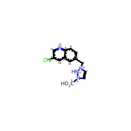 O=C(O)N1C=CN(Cc2ccc3ncc(Cl)cc3c2)N1